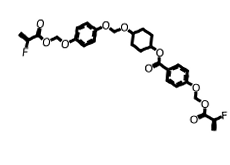 C=C(F)C(=O)OCOc1ccc(OCOC2CCC(OC(=O)c3ccc(OCOC(=O)C(=C)F)cc3)CC2)cc1